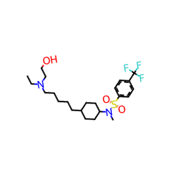 CCN(CCO)CCCCCC1CCC(N(C)S(=O)(=O)c2ccc(C(F)(F)F)cc2)CC1